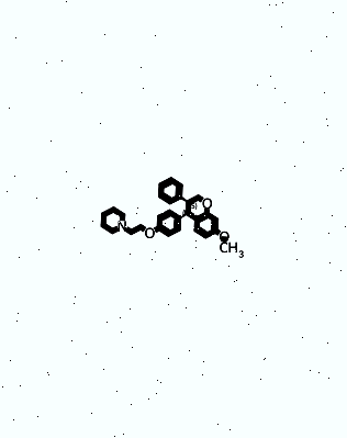 COc1ccc2c(c1)OC[C@H](c1ccccc1)[C@@H]2c1ccc(OCCN2CCCCC2)cc1